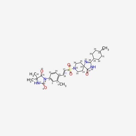 Cc1cc(N2C(=O)NC(C)(C)C2=O)ccc1/C=C/S(=O)(=O)N1CCC2(CC1)N=C(C1CCC(C)CC1)NC2=O